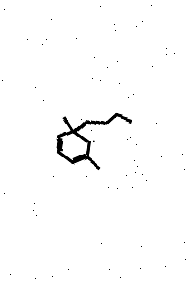 CCCCC1(C)[CH]C(C)=CC=C1